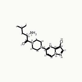 CC(C)C[C@H](N)C(=O)N1CCN(c2ccn3ncc(Cl)c3n2)CC1